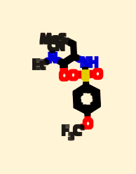 CCN(C#N)C(=O)C(CSC)NS(=O)(=O)c1ccc(OC(F)(F)F)cc1